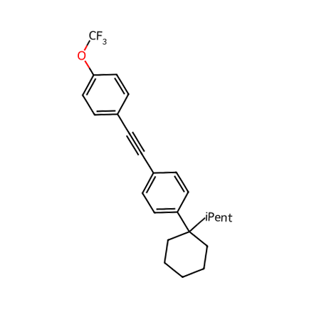 CCCC(C)C1(c2ccc(C#Cc3ccc(OC(F)(F)F)cc3)cc2)CCCCC1